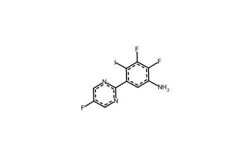 Nc1cc(-c2ncc(F)cn2)c(I)c(F)c1F